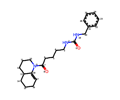 O=C(NCCCCC(=O)N1CCCC2CCCC=C21)NCc1ccccc1